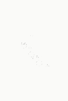 N#Cc1cccc(Nc2cc(Oc3c4c(nn3C3CCOCC3)CCC4)ccn2)c1